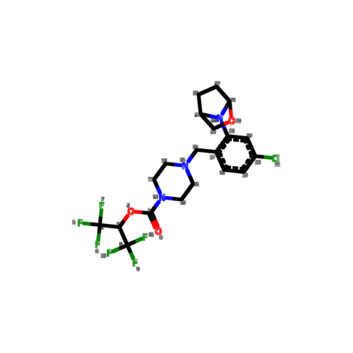 O=C(OC(C(F)(F)F)C(F)(F)F)N1CCN(Cc2ccc(Cl)cc2N2C3CCC2OC3)CC1